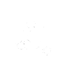 C[C@@H]1O[C@H](COC(=O)c2ccccc2)C(OC(=O)c2ccccc2)C(N(C)C)C1O